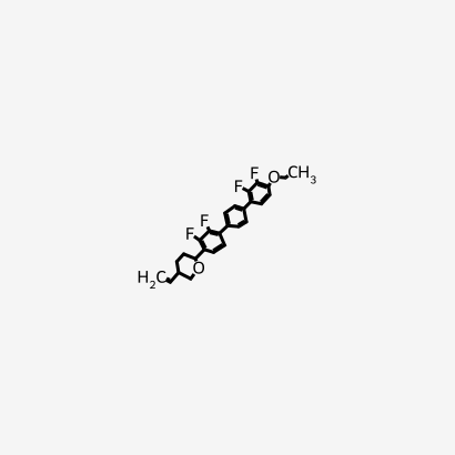 C=CC1CCC(c2ccc(-c3ccc(-c4ccc(OCC)c(F)c4F)cc3)c(F)c2F)OC1